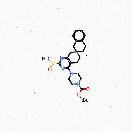 C[S+]([O-])c1nc2c(c(N3CCN(C(=O)OC(C)(C)C)CC3)n1)CC[C@@]1(CCc3ccccc3C1)C2